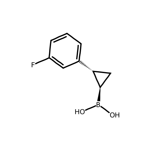 OB(O)[C@@H]1C[C@H]1c1cccc(F)c1